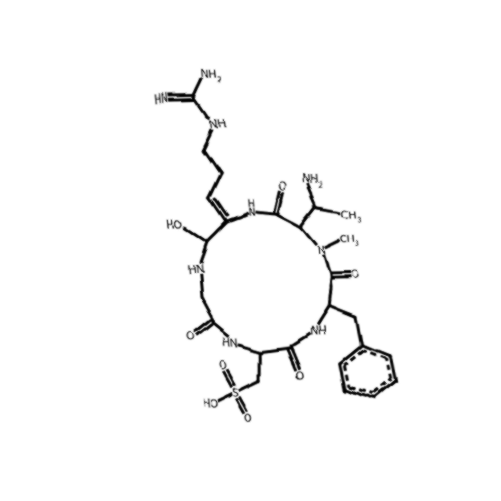 CC(N)C1C(=O)N/C(=C\CCNC(=N)N)C(O)NCC(=O)NC(CS(=O)(=O)O)C(=O)NC(Cc2ccccc2)C(=O)N1C